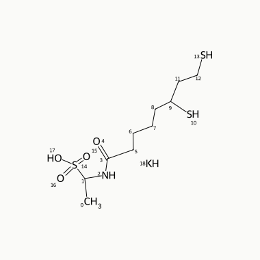 CC(NC(=O)CCCCC(S)CCS)S(=O)(=O)O.[KH]